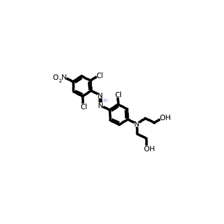 O=[N+]([O-])c1cc(Cl)c(/N=N/c2ccc(N(CCO)CCO)cc2Cl)c(Cl)c1